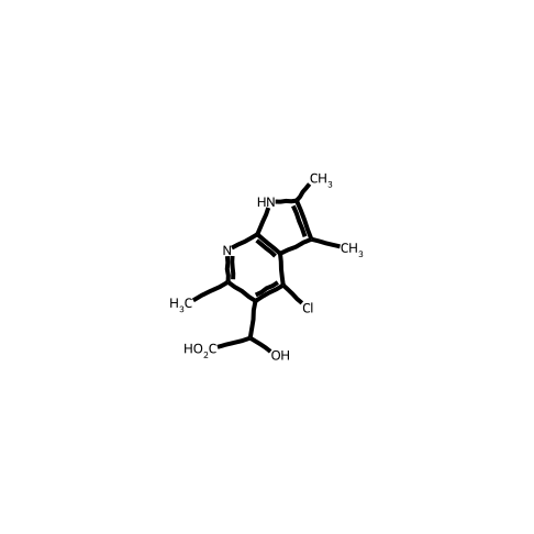 Cc1nc2[nH]c(C)c(C)c2c(Cl)c1C(O)C(=O)O